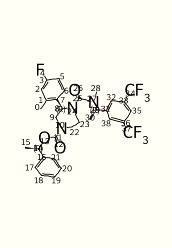 Cc1cc(F)ccc1[C@@H]1CN(C(=O)O[C@H](C)c2ccccc2)CCN1C(=O)N(C)[C@H](C)c1cc(C(F)(F)F)cc(C(F)(F)F)c1